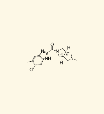 Cc1cc2nc(C(=O)N3C[C@H]4CN(C)C[C@H]4C3)[nH]c2cc1Cl